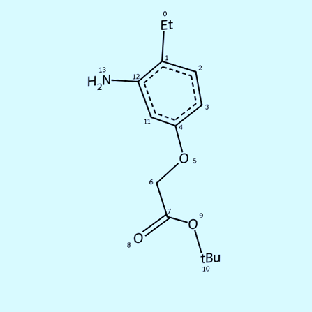 CCc1ccc(OCC(=O)OC(C)(C)C)cc1N